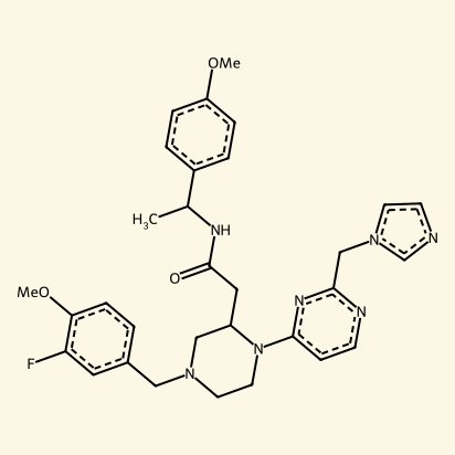 COc1ccc(C(C)NC(=O)CC2CN(Cc3ccc(OC)c(F)c3)CCN2c2ccnc(Cn3ccnc3)n2)cc1